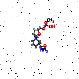 COP(O)OCC1CCC([n+]2cccc(C(N)=O)c2)O1